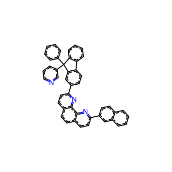 c1ccc(C2(c3cccnc3)c3ccccc3-c3ccc(-c4ccc5ccc6ccc(-c7ccc8ccccc8c7)nc6c5n4)cc32)cc1